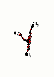 C=CCCCCCCOc1ccc(CCC(=O)Oc2ccc3c(c2)c(Oc2ccc(OCCCCCCOC(=O)C=C)cc2)cc2cc(OC(=O)CCc4ccc(OCCCCCCOC(=O)C=C)cc4)ccc23)cc1